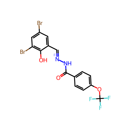 O=C(N/N=C/c1cc(Br)cc(Br)c1O)c1ccc(OC(F)(F)F)cc1